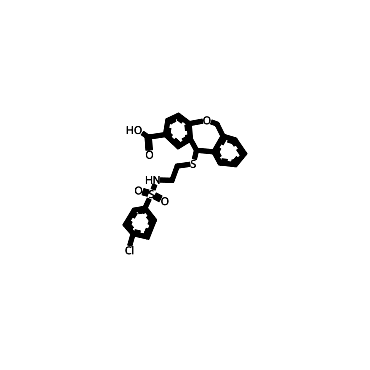 O=C(O)c1ccc2c(c1)C(SCCNS(=O)(=O)c1ccc(Cl)cc1)c1ccccc1CO2